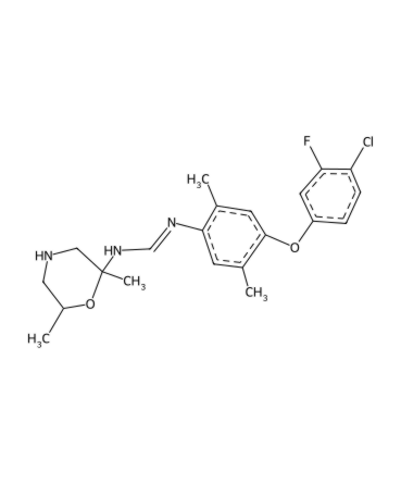 Cc1cc(Oc2ccc(Cl)c(F)c2)c(C)cc1/N=C/NC1(C)CNCC(C)O1